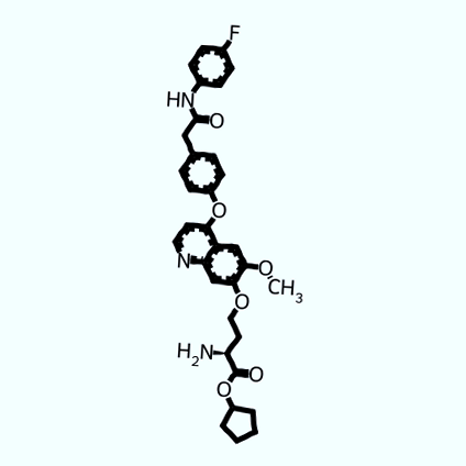 COc1cc2c(Oc3ccc(CC(=O)Nc4ccc(F)cc4)cc3)ccnc2cc1OCC[C@H](N)C(=O)OC1CCCC1